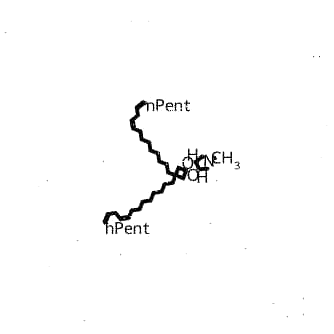 CCCCC/C=C\C/C=C\CCCCCCCCC1(CCCCCCCC/C=C\C/C=C\CCCCC)CC2(C1)O[C@H]1CN(C)C[C@H]1O2